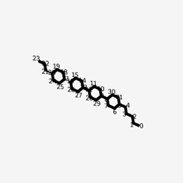 CCCCCC1CCC(C2CCC(C3CCC([C@H]4CC[C@H](CCC)CC4)CC3)CC2)CC1